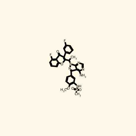 COc1ccc(-c2nn(C(C)c3oc4cccc(F)c4c(=O)c3-c3cccc(F)c3)c3ncnc(N)c23)cc1NS(C)(=O)=O